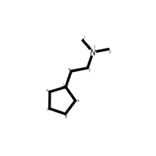 CN(C)CCC1CCCC1